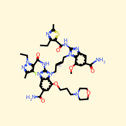 CCc1nc(C)sc1C(=O)Nc1nc2cc(C(N)=O)cc(OC)c2n1C/C=C/Cn1c(NC(=O)c2c(F)c(C)nn2CC)nc2cc(C(N)=O)cc(OCCCN3CCOCC3)c21